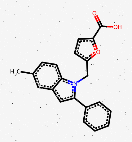 Cc1ccc2c(c1)cc(-c1ccccc1)n2Cc1ccc(C(=O)O)o1